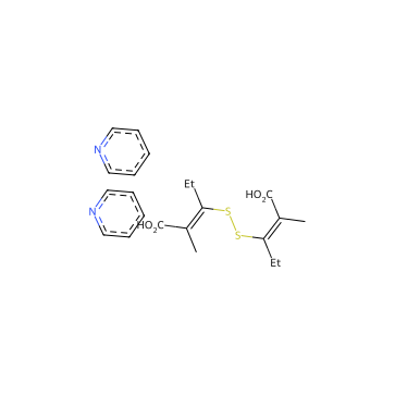 CCC(SSC(CC)=C(C)C(=O)O)=C(C)C(=O)O.c1ccncc1.c1ccncc1